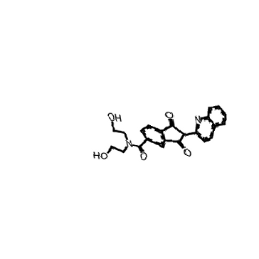 O=C1c2ccc(C(=O)N(CCO)CCO)cc2C(=O)C1c1ccc2ccccc2n1